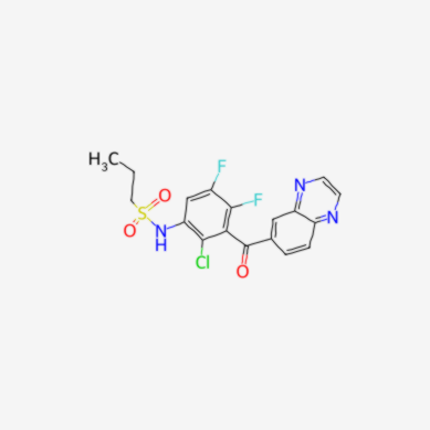 CCCS(=O)(=O)Nc1cc(F)c(F)c(C(=O)c2ccc3nccnc3c2)c1Cl